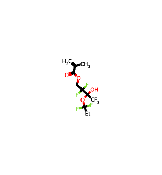 C=C(C)C(=O)OCC(F)(F)C(O)(OC(F)(F)CC)C(F)(F)F